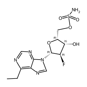 CCc1ncnc2c1ncn2[C@@H]1O[C@H](COS(N)(=O)=O)[C@H](O)[C@H]1F